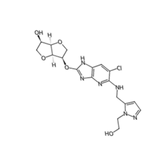 OCCn1nccc1CNc1nc2nc(O[C@@H]3CO[C@H]4[C@@H]3OC[C@H]4O)[nH]c2cc1Cl